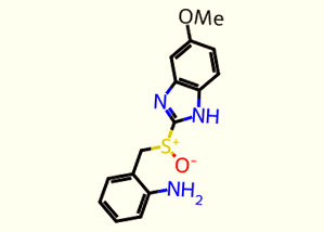 COc1ccc2[nH]c([S+]([O-])Cc3ccccc3N)nc2c1